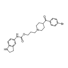 O=C(Nc1ccc2c(c1)CCN2)OCCCN1CCC(C(=O)c2ccc(Br)cc2)CC1